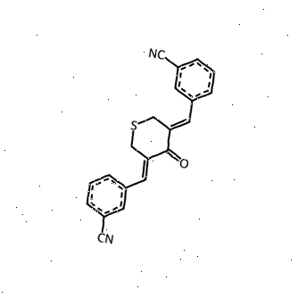 N#Cc1cccc(C=C2CSCC(=Cc3cccc(C#N)c3)C2=O)c1